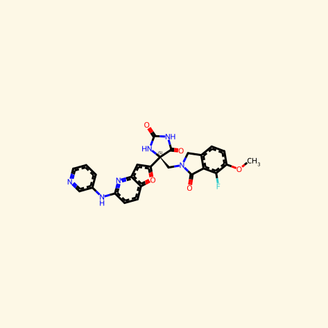 COc1ccc2c(c1F)C(=O)N(C[C@@]1(c3cc4nc(Nc5cccnc5)ccc4o3)NC(=O)NC1=O)C2